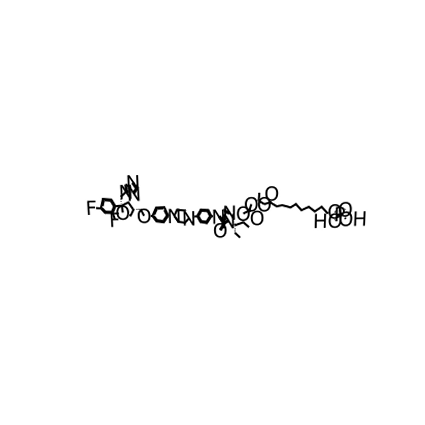 CC[C@@H](C(C)OC(=O)OC(C)OC(=O)CCCCCCCCCOP(=O)(O)O)n1ncn(-c2ccc(N3CCN(c4ccc(OC[C@@H]5CO[C@@](Cn6cncn6)(c6ccc(F)cc6F)C5)cc4)CC3)cc2)c1=O